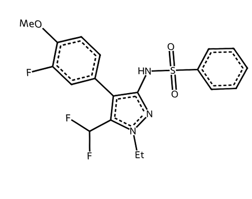 CCn1nc(NS(=O)(=O)c2ccccc2)c(-c2ccc(OC)c(F)c2)c1C(F)F